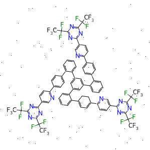 FC(F)(F)C(F)(F)c1nc(-c2ccc(C3=CC=C(c4ccccc4-c4cc(-c5ccccc5-c5ccc(-c6ccc(-c7nc(C(F)(F)C(F)(F)F)nc(C(F)(F)C(F)(F)F)n7)cn6)cc5)cc(-c5ccccc5-c5ccc(-c6ccc(-c7nc(C(F)(F)C(F)(F)F)nc(C(F)(F)C(F)(F)F)n7)cn6)cc5)c4)CC3)nc2)nc(C(F)(F)C(F)(F)F)n1